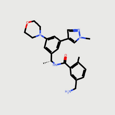 Cc1ccc(CN)cc1C(=O)N[C@H](C)c1cc(-c2cnn(C)c2)cc(N2CCOCC2)c1